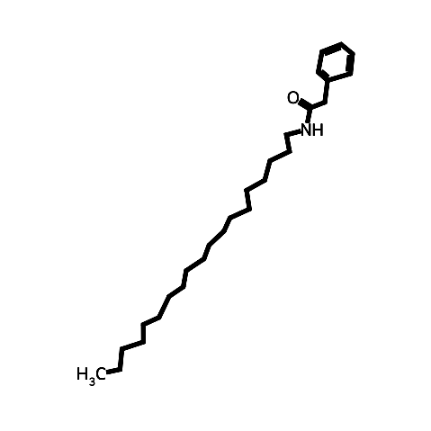 CCCCCCCCCCCCCCCCCCCNC(=O)Cc1ccccc1